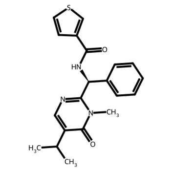 CC(C)c1cnc([C@@H](NC(=O)c2ccsc2)c2ccccc2)n(C)c1=O